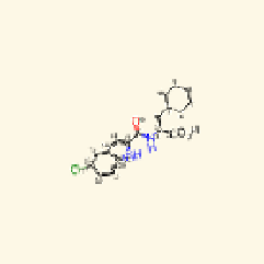 O=C(N[C@@H](CC1CCCCC1)C(=O)O)c1cc2cc(Cl)ccc2[nH]1